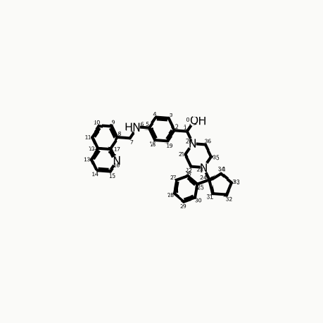 OC(c1ccc(NCc2cccc3cccnc23)cc1)N1CCN(C2(c3ccccc3)CCCC2)CC1